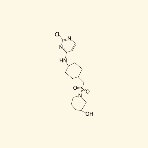 O=S(=O)(CC1CCC(Nc2ccnc(Cl)n2)CC1)N1CCCC(O)C1